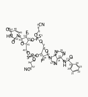 N#CCCOP1(=S)OCC2OC(n3cnc4c(NC(=O)c5ccccc5)ncnc43)C(F)C2OP(=S)(OCCC#N)OCC2OC(n3ccc(=O)[nH]c3=O)C(F)C2O1